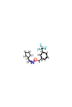 FC(F)(F)c1cccc(CO/N=[C]\C2CCCC2)c1